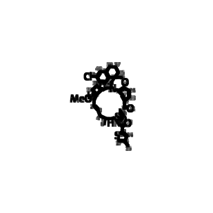 CO[C@H]1/C=C/C[C@H](C)C[S@@](=O)(NC(=O)c2cc(C)cs2)=NC(=O)c2ccc3c(c2)N(C[C@@H]2CC[C@H]21)C[C@@]1(CCCc2cc(Cl)ccc21)CO3